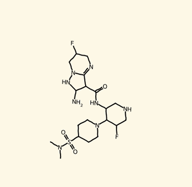 CN(C)S(=O)(=O)C1CCN(C2C(F)CNCC2NC(=O)C2C3=NCC(F)CN3NC2N)CC1